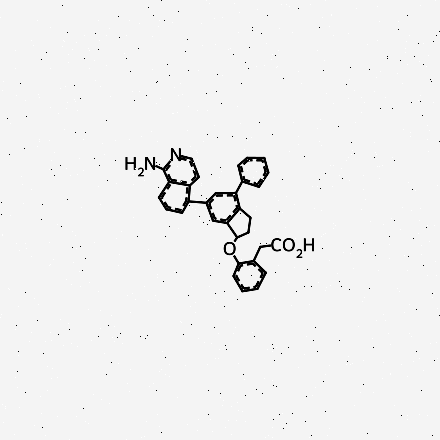 Nc1nccc2c(-c3cc(-c4ccccc4)c4c(c3)C(Oc3ccccc3CC(=O)O)CC4)cccc12